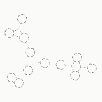 c1ccc(-c2c3ccccc3c(-c3ccc(-c4ccc(N(c5ccc(-c6ccc7c(c6)c6ccccc6n7-c6ccccc6)cc5)c5ccc(-c6cccc7ccccc67)cc5)cc4)cc3)c3ccccc23)cc1